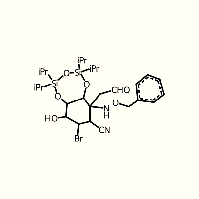 CC(C)[Si]1(C(C)C)OC2C(O)C(Br)C(C#N)C(CC=O)(NOCc3ccccc3)C2O[Si](C(C)C)(C(C)C)O1